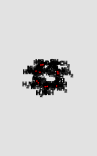 C=CCOC1C2OC(CNC(=N)N)C(OC3OC(CNC(=N)N)C(OC4OC(CNC(=N)N)C(OC5OC(CNC(=N)N)C(OC6OC(CNC(=N)N)C(OC(C(O)O)OC(CNC(=N)N)C(C)OC7OC(CNC(=N)N)C(O2)C(O)C7O)C(O)C6O)C(O)C5O)C(O)C4O)C(O)C3O)C1O